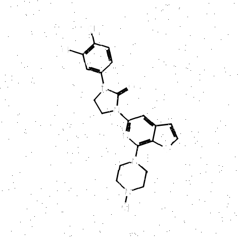 CN1CCN(c2nc(N3CCN(c4ccc(Cl)c(Cl)c4)C3=O)cc3ccoc23)CC1